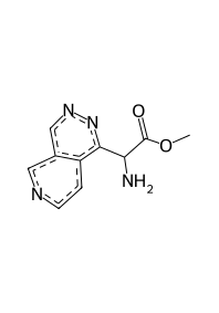 COC(=O)C(N)c1nncc2cnccc12